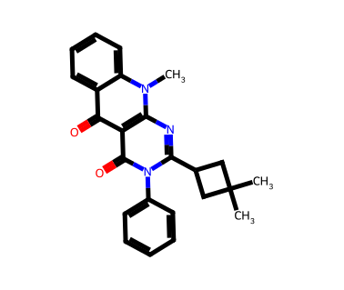 Cn1c2ccccc2c(=O)c2c(=O)n(-c3ccccc3)c(C3CC(C)(C)C3)nc21